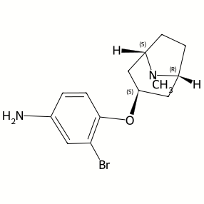 CN1[C@@H]2CC[C@H]1C[C@H](Oc1ccc(N)cc1Br)C2